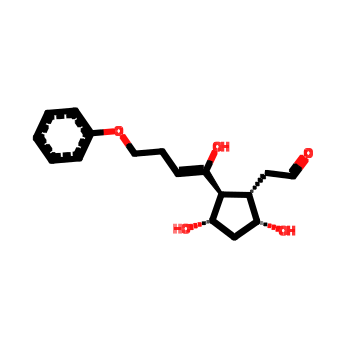 O=CC[C@H]1[C@H](C(O)=CCCOc2ccccc2)[C@@H](O)C[C@H]1O